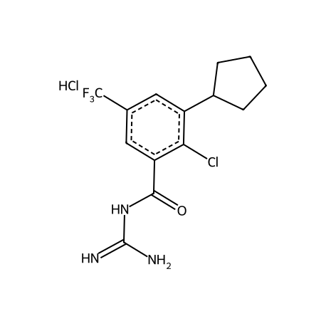 Cl.N=C(N)NC(=O)c1cc(C(F)(F)F)cc(C2CCCC2)c1Cl